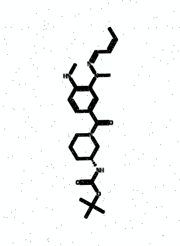 C/C=C\C=N/N(C)c1cc(C(=O)N2CCC[C@@H](NC(=O)OC(C)(C)C)C2)ccc1NC